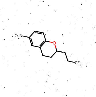 O=[N+]([O-])c1ccc2c(c1)CCC(CCC(F)(F)F)O2